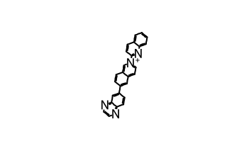 c1ccc2nc(-[n+]3ccc4cc(-c5ccc6nccnc6c5)ccc4c3)ccc2c1